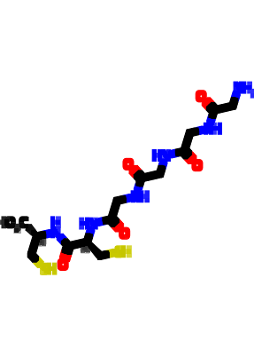 NCC(=O)NCC(=O)NCC(=O)NCC(=O)N[C@@H](CS)C(=O)N[C@@H](CS)C(=O)O